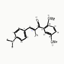 CC/C(=C\c1ccc(N(C)C)cc1)C(=O)c1cc(OC)ccc1OC